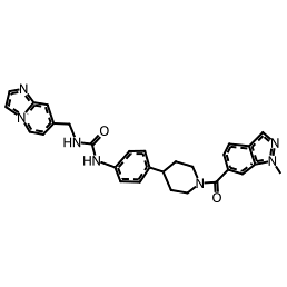 Cn1ncc2ccc(C(=O)N3CCC(c4ccc(NC(=O)NCc5ccn6ccnc6c5)cc4)CC3)cc21